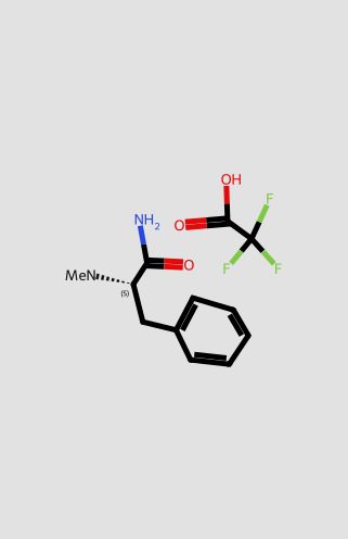 CN[C@@H](Cc1ccccc1)C(N)=O.O=C(O)C(F)(F)F